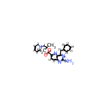 CC(C)(CN1CC=CCC1)OC(=O)c1ccc2nc(N)nc(Cc3ccccc3)c2n1